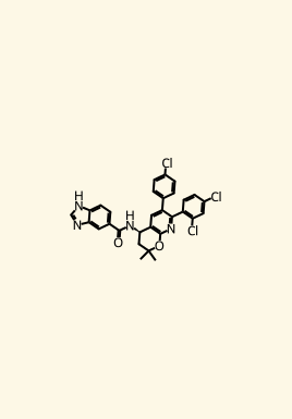 CC1(C)C[C@@H](NC(=O)c2ccc3[nH]cnc3c2)c2cc(-c3ccc(Cl)cc3)c(-c3ccc(Cl)cc3Cl)nc2O1